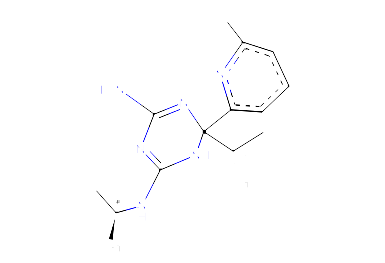 CC(C)[C@@H](C)C1(c2cccc(C(F)(F)F)n2)N=C(N)N=C(N[C@H](C)C(C)C)N1